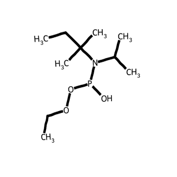 CCOOP(O)N(C(C)C)C(C)(C)CC